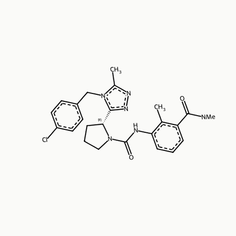 CNC(=O)c1cccc(NC(=O)N2CCC[C@@H]2c2nnc(C)n2Cc2ccc(Cl)cc2)c1C